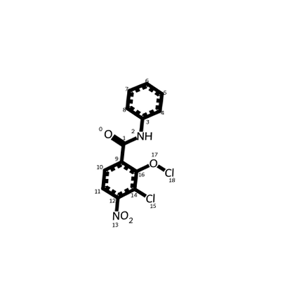 O=C(Nc1ccccc1)c1ccc([N+](=O)[O-])c(Cl)c1OCl